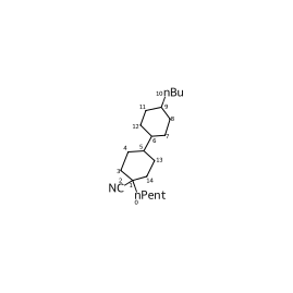 CCCCCC1(C#N)CCC(C2CCC(CCCC)CC2)CC1